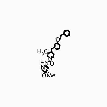 COc1cnc(NC(=O)N2CCC(=Cc3cccc(OCCc4ccccc4)c3)C(C)C2)cn1